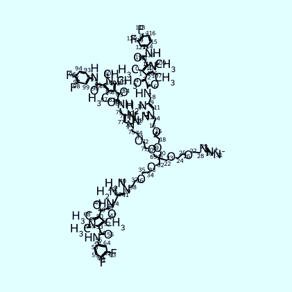 Cc1c(C(=O)C(=O)NC/C(N)=C/N(N)CCOCCOCC(COCCOCCN=[N+]=[N-])(COCCOCCN(N)/C=C(\N)CNC(=O)C(=O)c2c(C)c(C(=O)Nc3ccc(F)c(F)c3)n(C)c2C)COCCOCCn2cc(CNC(=O)C(=O)c3c(C)c(C(=O)Nc4ccc(F)c(F)c4)n(C)c3C)nn2)c(C)n(C)c1C(=O)Nc1ccc(F)c(F)c1